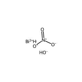 O=[N+]([O-])[O-].[BiH+2].[OH-]